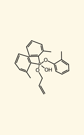 C=CCOP(O)(Oc1ccccc1C)(c1ccccc1C)c1ccccc1C